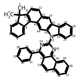 CC1(C)c2ccccc2-c2c1ccc1cc3c4ccccc4n(-c4nc(-c5ccccc5)c5ccc6ccccc6c5n4)c3cc21